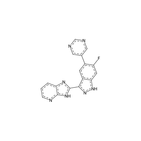 Fc1cc2[nH]nc(-c3nc4cccnc4[nH]3)c2cc1-c1cncnc1